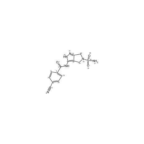 N#Cc1ccc(C(=O)Nc2[nH]nc3c2CN(S(N)(=O)=O)C3)cc1